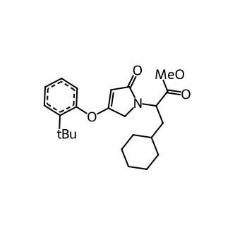 COC(=O)C(CC1CCCCC1)N1CC(Oc2ccccc2C(C)(C)C)=CC1=O